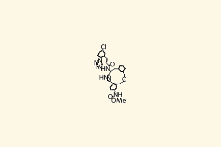 COC(=O)Nc1ccc2c(c1)CCCCc1cccc(c1)C[C@H](NC(=O)/C=C/c1cc(Cl)ccc1-n1cnnn1)c1nc-2c[nH]1